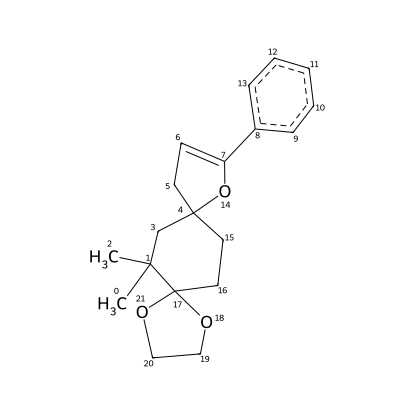 CC1(C)CC2(CC=C(c3ccccc3)O2)CCC12OCCO2